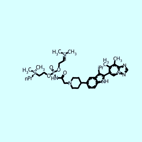 CCC[Si](C)(C)CCOP(=O)(NC(=O)CN1CCC(c2ccc3[nH]c(-c4cn5ncnc5c(C)c4C)c(C(C)C)c3c2)CC1)OCC[SiH](C)C